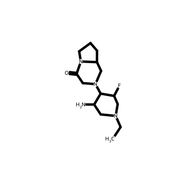 CCN1CC(N)C(N2CC(=O)N3CCCC3C2)C(F)C1